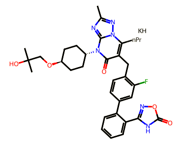 CCCc1c(Cc2ccc(-c3ccccc3-c3noc(=O)[nH]3)cc2F)c(=O)n([C@H]2CC[C@H](OCC(C)(C)O)CC2)c2nc(C)nn12.[KH]